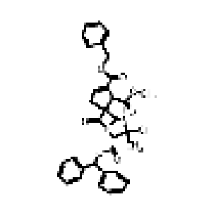 COC(=O)C1C(C(=O)OCc2ccccc2)=CCC12C(=O)N1[C@@H](C(=O)OC(c3ccccc3)c3ccccc3)C(C)(C)S[C@@H]12